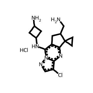 Cl.NCC1Cc2c(nc3c(Cl)cnn3c2NC2CC(N)C2)C12CC2